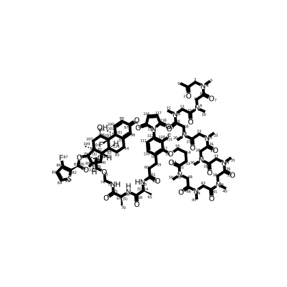 CC(=O)CN(C)C(=O)CN(C)C(=O)CN(C)C(=O)CN(C)C(=O)CN(C)C(=O)CN(C)C(=O)CN(C)C(=O)CN(C)C(=O)CN(C)C(=O)CN(C)C(=O)CCCOc1c(CCC(=O)N[C@@H](C)C(=O)N[C@@H](C)C(=O)NCOCC(=O)[C@@]23O[C@H](c4sccc4F)O[C@@H]2C[C@H]2[C@@H]4CCC5=CC(=O)C=C[C@]5(C)[C@@]4(F)[C@@H](O)C[C@@]23C)ccc(N2C(=O)C=CC2=O)c1F